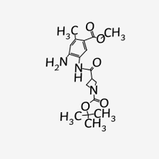 COC(=O)c1cc(NC(=O)C2CN(C(=O)OC(C)(C)C)C2)c(N)cc1C